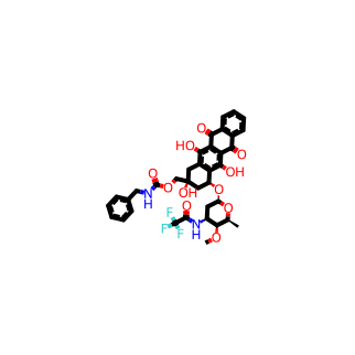 CO[C@H]1[C@@H](NC(=O)C(F)(F)F)C[C@H](O[C@H]2C[C@](O)(COC(=O)NCc3ccccc3)Cc3c(O)c4c(c(O)c32)C(=O)c2ccccc2C4=O)O[C@H]1C